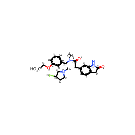 CN(C(=O)Cc1ccc2c(c1)NC(=O)C2)[C@H](CN1CCC(F)C1)c1cccc(OCC(=O)O)c1